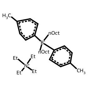 CCCCCCCC[B-](CCCCCCCC)(c1ccc(C)cc1)c1ccc(C)cc1.CC[N+](CC)(CC)CC